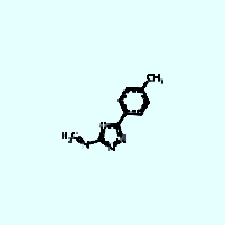 C=Nc1nnc(-c2ccc(C)cc2)o1